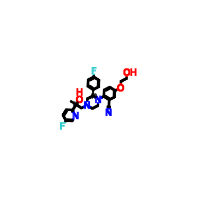 C[C@@](O)(CN1CCN(c2ccc(OCCO)cc2C#N)[C@H](c2ccc(F)cc2)C1)c1ccc(F)cn1